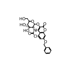 CC(=O)N[C@H]1C(Oc2cc3ccc(OCc4ccccc4)cc3oc2=O)O[C@H](CO)[C@@H](O)[C@@H]1O